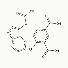 CC(=O)Oc1coc2ccccc12.Cc1ccc(C(=O)O)cc1C(=O)O